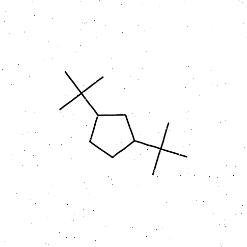 CC(C)(C)C1CCC(C(C)(C)C)C1